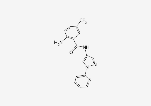 Nc1ccc(C(F)(F)F)cc1C(=O)Nc1cnn(-c2ccccn2)c1